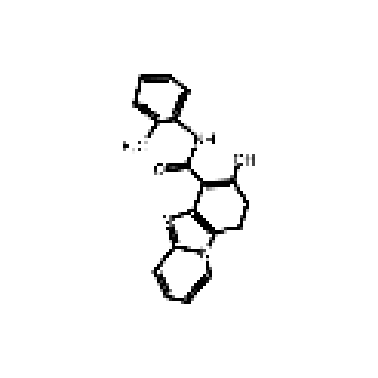 O=C(Nc1ccccc1C(F)(F)F)C1=C(O)CCc2c1nc1ccccn21